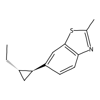 CC[C@H]1C[C@@H]1c1ccc2nc(C)sc2c1